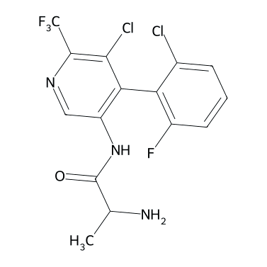 CC(N)C(=O)Nc1cnc(C(F)(F)F)c(Cl)c1-c1c(F)cccc1Cl